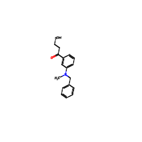 CCCCCCCCCCCCC(=O)c1[c]ccc(N(C)Cc2ccccc2)c1